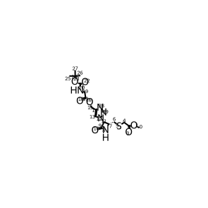 COC(=O)CSC[C@@H]1NC(=O)[C@H]1n1cc(COC(=O)CNC(=O)OC(C)(C)C)nn1